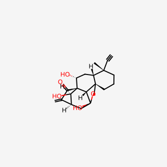 C#C[C@]1(C)CCC[C@]23CO[C@]4(O)C[C@H]5C(=C)C(=O)[C@]([C@H](O)C[C@@H]21)([C@@H]5O)[C@H]34